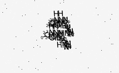 Cc1ccc(NC(=O)Nc2ncc(C(C)Sc3nnn[nH]3)s2)c(OCC(C)C)c1.Cc1ccc(NC(=O)Nc2ncc(CSc3nnc[nH]3)s2)c(OCC(C)C)c1